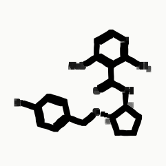 COc1ccnc(N)c1C(=O)N[C@H]1CCC[C@@H]1OCc1ccc(Br)cc1